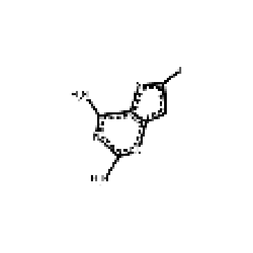 Nc1nc(N)c2sc(I)cc2n1